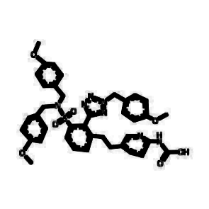 COc1ccc(CN(Cc2ccc(OC)cc2)S(=O)(=O)c2cccc(CCc3ccc(NC(=O)O)nc3)c2-c2nnn(Cc3ccc(OC)cc3)n2)cc1